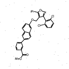 COC(=O)c1cccc(-c2ccc3cc(OCc4c(-c5c(Cl)cccc5Cl)noc4C(C)C)ccc3c2)c1